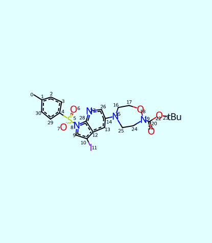 Cc1ccc(S(=O)(=O)n2cc(I)c3cc(N4CCON(C(=O)OC(C)(C)C)CC4)cnc32)cc1